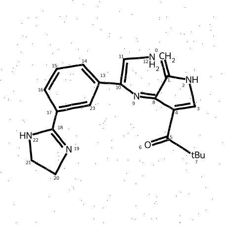 C=C1NC=C(C(=O)C(C)(C)C)/C1=N/C(=C\N)c1cccc(C2=NCCN2)c1